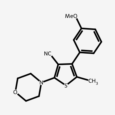 COc1cccc(-c2c(C)sc(N3CCOCC3)c2C#N)c1